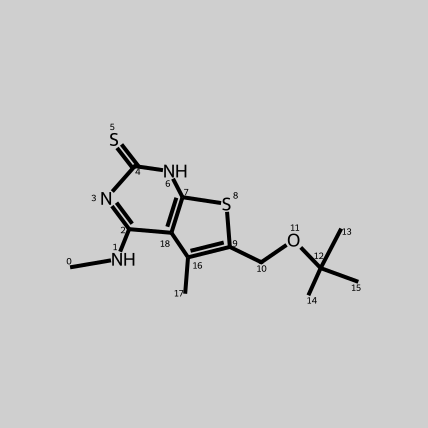 CNc1nc(=S)[nH]c2sc(COC(C)(C)C)c(C)c12